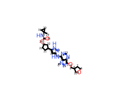 Cn1nc(OCC2CCOC2)c2ncnc(Nc3cc(C4CCC(OC(=O)NC5(C)CC5)C4)[nH]n3)c21